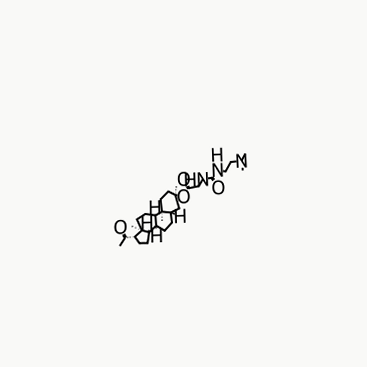 CC(=O)[C@H]1CC[C@H]2[C@@H]3CC[C@H]4C[C@](C)(OC(=O)CNC(=O)NCCN(C)C)CC[C@]4(C)[C@H]3CC[C@]12C